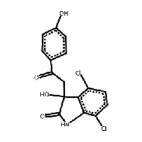 O=C(CC1(O)C(=O)Nc2c(Cl)ccc(Cl)c21)c1ccc(O)cc1